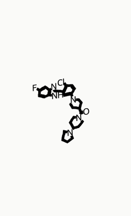 O=C(C1CCN(c2ccc(Cl)c(-c3nc4cc(F)ccc4[nH]3)c2)CC1)N1CCC(N2CCCC2)CC1